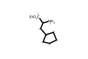 CCOC(=O)C(N)CC1CCCC1